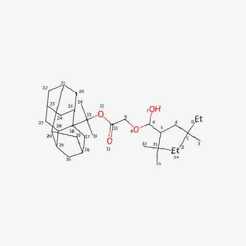 CCC(C)(C)CC(C(O)OCC(=O)OC(C)(C)C12CC3CC4C5CC(CC1C5)CC2C4C3)C(C)(C)CC